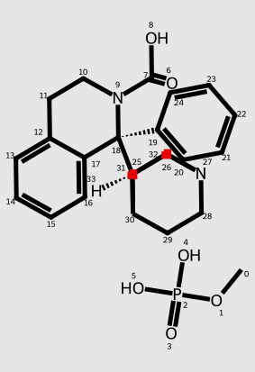 COP(=O)(O)O.O=C(O)N1CCc2ccccc2[C@]1(c1ccccc1)[C@H]1CN2CCC1CC2